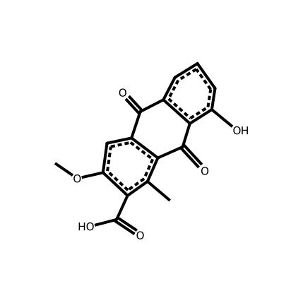 COc1cc2c(c(C)c1C(=O)O)C(=O)c1c(O)cccc1C2=O